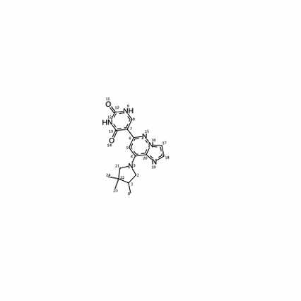 CC1CN(c2cc(-c3c[nH]c(=O)[nH]c3=O)nn3ccnc23)CC1(C)C